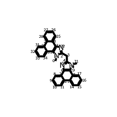 Cn1c(Cc2nc3c4ccccc4c4ccccc4c3n2C)nc2c3ccccc3c3ccccc3c21